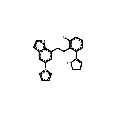 Fc1cccc(C2=NCCN2)c1CCc1cc(-n2cccc2)cc2ccoc12